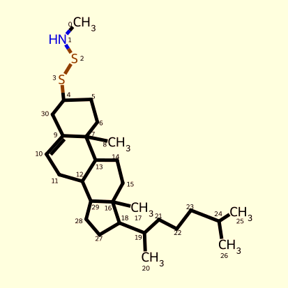 CNSSC1CCC2(C)C(=CCC3C2CCC2(C)C(C(C)CCCC(C)C)CCC32)C1